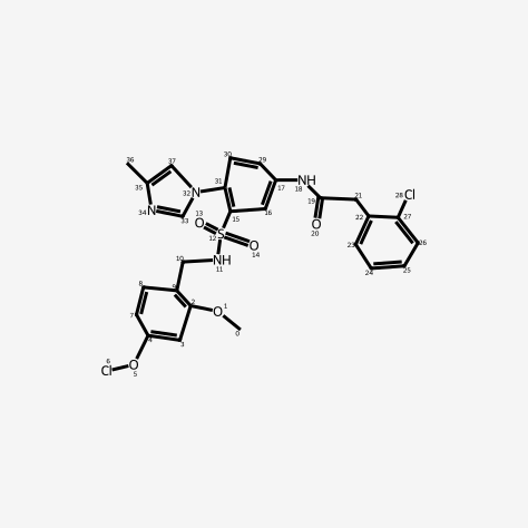 COc1cc(OCl)ccc1CNS(=O)(=O)c1cc(NC(=O)Cc2ccccc2Cl)ccc1-n1cnc(C)c1